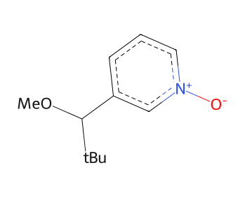 COC(c1ccc[n+]([O-])c1)C(C)(C)C